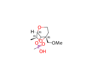 COC[C@]12CCO[C@@H](C1OP(C)(=O)O)[C@H](C)O2